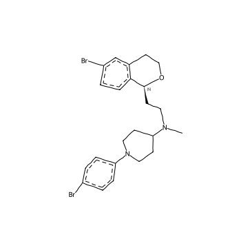 CN(CC[C@@H]1OCCc2cc(Br)ccc21)C1CCN(c2ccc(Br)cc2)CC1